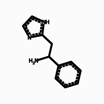 NC(Cc1ncc[nH]1)c1ccccc1